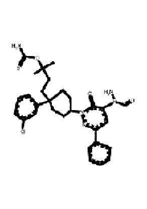 CC(C)(CCC1(c2cccc(Cl)c2)CCC(n2nc(-c3ccccc3)cc(N(N)C=O)c2=O)CC1)OC(N)=O